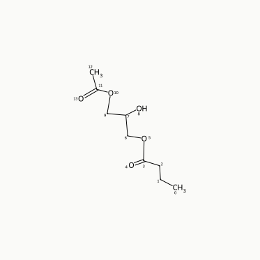 CCCC(=O)OCC(O)COC(C)=O